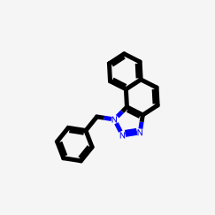 c1ccc(Cn2nnc3ccc4ccccc4c32)cc1